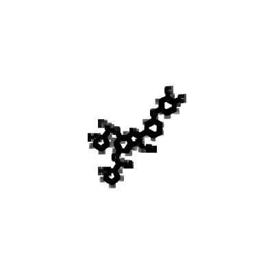 CCCCn1c(-c2cccc(Oc3ccc(Cl)c(Cl)c3)c2)nc2c(OC(CC)C3CCCN3)cc(OC(CC)C3CCCN3)cc21